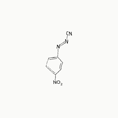 N#CN=Nc1ccc([N+](=O)[O-])cc1